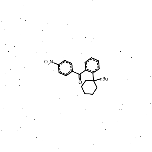 CCCCC1(c2ccccc2C(=O)c2ccc([N+](=O)[O-])cc2)CCCCC1